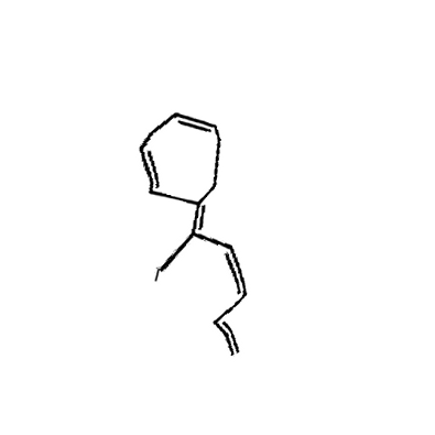 C=C/C=C\C(I)=C1\C=CC=CC1